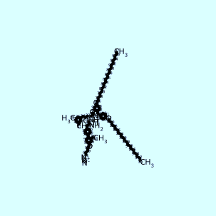 CCCCCCCCCCCCCCCCCCCCCCOc1ccc(C(NC(=O)[C@H](CCCc2cc(C)cc(C)c2)NC(=O)[C@@H](N)Cc2ccc(-c3ccc(OCCCCN=[N+]=[N-])cc3CC)cc2)c2ccc(OCCCCCCCCCCCCCCCCCCCCCC)cc2)cc1